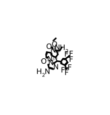 CCOC(=O)N1c2ccc(OC)nc2[C@H](C(c2cc(C(F)(F)F)cc(C(F)(F)F)c2)c2ncc(N)cn2)C[C@@]1(N)CC